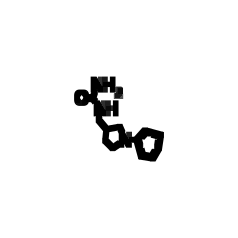 NC(=O)NCC1CCN(c2ccccc2)C1